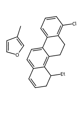 CCC1CC=Cc2ccc3c(c21)CCc1c(Cl)cccc1-3.Cc1ccoc1